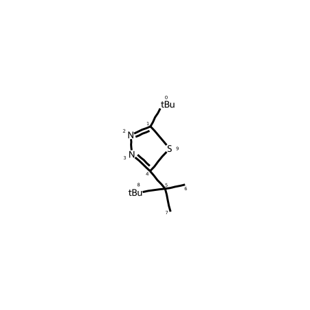 CC(C)(C)c1nnc(C(C)(C)C(C)(C)C)s1